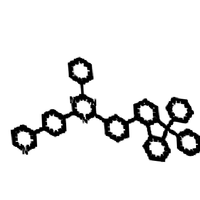 c1ccc(-c2nc(-c3ccc(-c4cccnc4)cc3)nc(-c3cccc(-c4cccc5c4-c4ccccc4C5(c4ccccc4)c4ccccc4)c3)n2)cc1